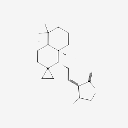 CC1(C)CCC[C@@]2(C)[C@H]1CCC1(CC1)[C@@H]2C/C=C1\C(=O)OCC1O